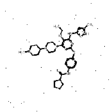 CCOc1c(Nc2cc(C)[nH]n2)nc(Sc2ccc(NC(=O)C3CCCC3)cc2)nc1N1CCN(C2CCN(C)CC2)CC1